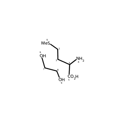 CSCCC(N)C(=O)O.OCCO